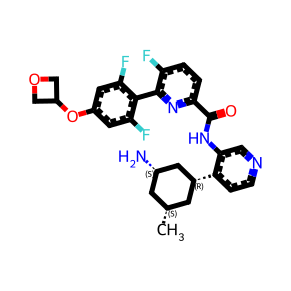 C[C@@H]1C[C@H](N)C[C@H](c2ccncc2NC(=O)c2ccc(F)c(-c3c(F)cc(OC4COC4)cc3F)n2)C1